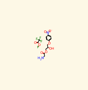 NCC(=O)OCC(O)COc1ccc([N+](=O)[O-])cc1.O=C(OF)C(F)(F)F